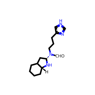 O=CN(CCCc1c[nH]cn1)[C@H]1CC2CCCC[C@H]2N1